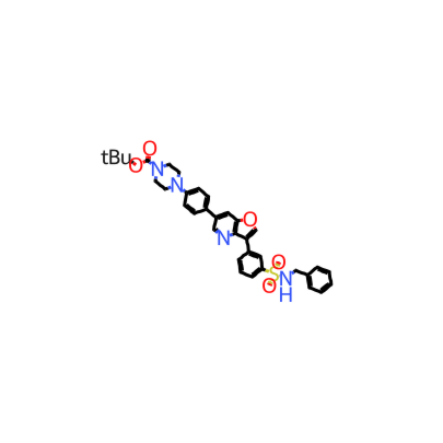 CC(C)(C)OC(=O)N1CCN(c2ccc(-c3cnc4c(-c5cccc(S(=O)(=O)NCc6ccccc6)c5)coc4c3)cc2)CC1